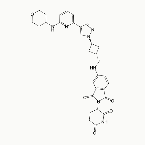 O=C1CCC(N2C(=O)c3ccc(NC[C@H]4C[C@H](n5cc(-c6cccc(NC7CCOCC7)n6)cn5)C4)cc3C2=O)C(=O)N1